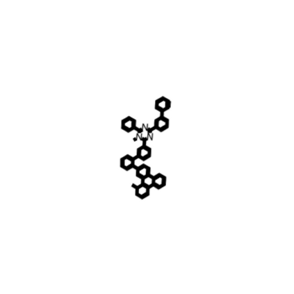 CC1CC=Cc2c1c1cc(-c3ccccc3-c3cccc(C4N=C(c5cccc(-c6c#cccc6)c5)N=C(c5ccccc5)N4C)c3)ccc1c1ccccc21